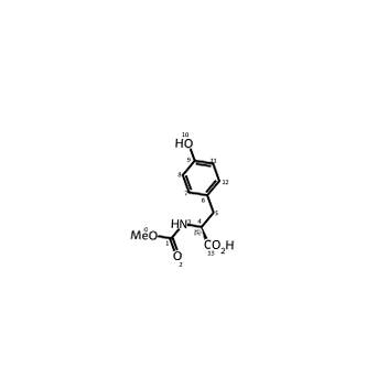 COC(=O)N[C@@H](Cc1ccc(O)cc1)C(=O)O